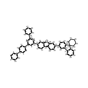 c1ccc(-c2ccc(-c3cc(-c4ccc5c(c4)oc4cc(-c6ccc7c(c6)-c6ccccc6C76CCCCC6)ccc45)nc(-c4ccccc4)n3)cc2)cc1